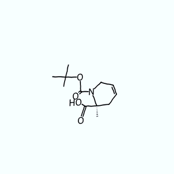 CC(C)(C)OC(=O)N1CC=CC[C@@]1(C)C(=O)O